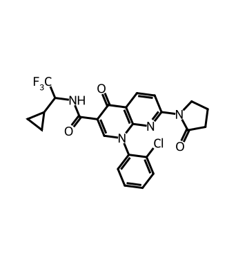 O=C(NC(C1CC1)C(F)(F)F)c1cn(-c2ccccc2Cl)c2nc(N3CCCC3=O)ccc2c1=O